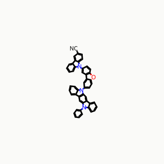 N#Cc1ccc2c(c1)c1ccccc1n2-c1ccc2oc3ccc(-n4c5ccccc5c5cc6c(cc54)c4ccccc4n6-c4ccccc4)cc3c2c1